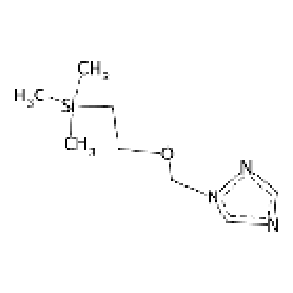 C[Si](C)(C)CCOCn1cncn1